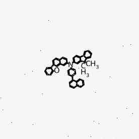 CC1(C)c2ccccc2-c2ccc(N(c3ccc(-c4cccc5ccccc45)cc3)c3ccc4ccc5c6ccccc6oc5c4c3)cc21